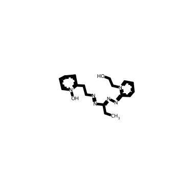 CCC(N=NCCc1cccc[n+]1O)=NN=c1ccccn1CCO